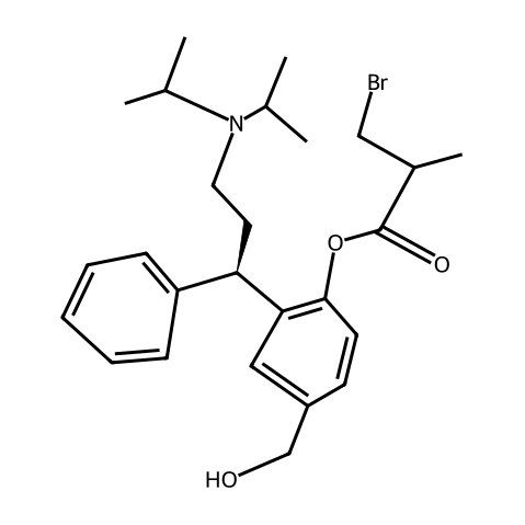 CC(CBr)C(=O)Oc1ccc(CO)cc1[C@H](CCN(C(C)C)C(C)C)c1ccccc1